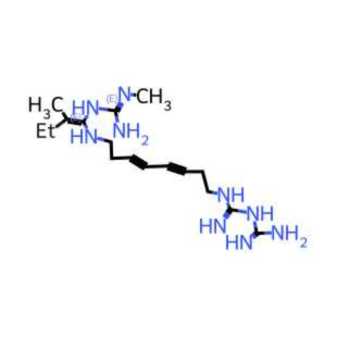 CC/C(C)=C(\NCCC#CC#CCCNC(=N)NC(=N)N)N/C(N)=N/C